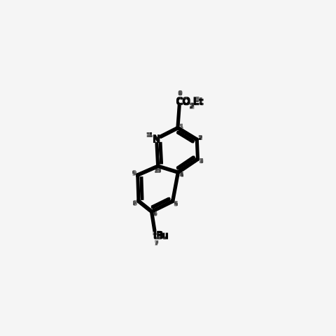 CCOC(=O)c1ccc2cc(C(C)(C)C)ccc2n1